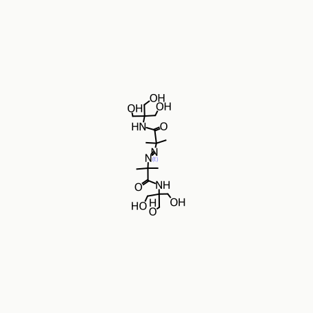 CC(C)(/N=N/C(C)(C)C(=O)NC(CO)(CO)CO)C(=O)NC(CO)(CO)CO